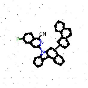 N#Cc1nc(-n2c3ccccc3c3c4ccccc4c(-c4ccc5ccc6ccccc6c5c4)cc32)cc2cc(F)ccc12